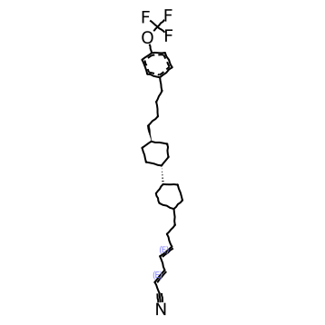 N#C/C=C/C=C/CCC1CCC([C@H]2CC[C@H](CCCCc3ccc(OC(F)(F)F)cc3)CC2)CC1